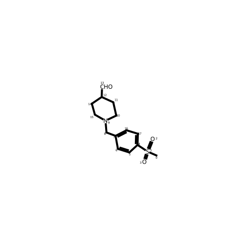 CS(=O)(=O)c1ccc(CN2CCC(C=O)CC2)cc1